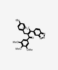 COc1cc(C(=O)C(Cc2ccc(C(C)(C)C)cc2)=C(C(=O)O)c2ccc3nsnc3c2)cc(OC)c1OC